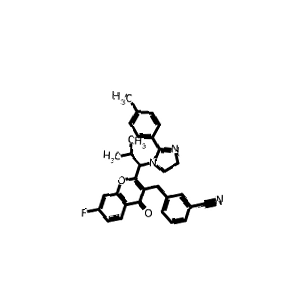 Cc1ccc(C2=NCCN2C(c2oc3cc(F)ccc3c(=O)c2Cc2cccc(C#N)c2)C(C)C)cc1